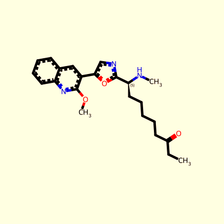 CCC(=O)CCCCC[C@H](NC)c1ncc(-c2cc3ccccc3nc2OC)o1